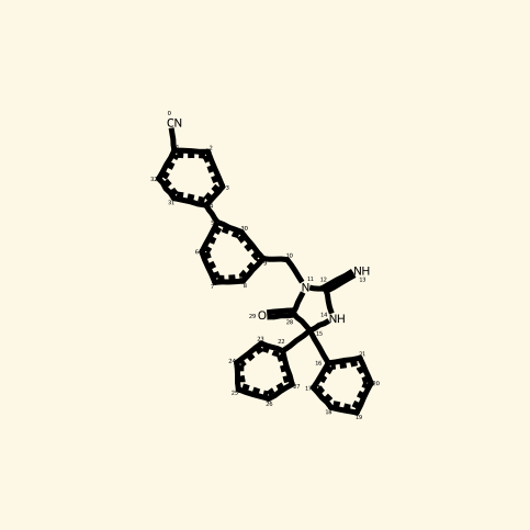 N#Cc1ccc(-c2cccc(CN3C(=N)NC(c4ccccc4)(c4ccccc4)C3=O)c2)cc1